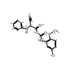 COc1ccc(Cl)cc1NC(=O)OC(=O)C(C#N)Nc1ccccc1